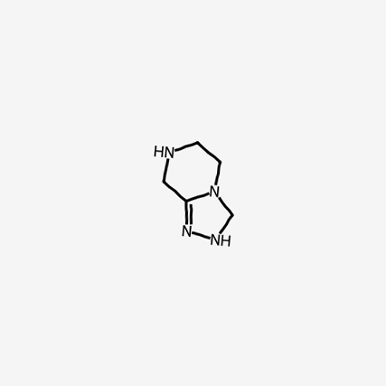 C1CN2CNN=C2CN1